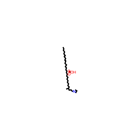 CCCCCC=CCC=CCCCCCCCC(CCCCCCCCC(C)CCCN1CCC1)OC(=O)O